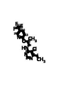 CCc1ncnc(NC[C@@H](C)Oc2ccc(C(F)(F)F)cn2)c1Cl